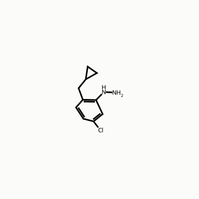 NNc1cc(Cl)ccc1CC1CC1